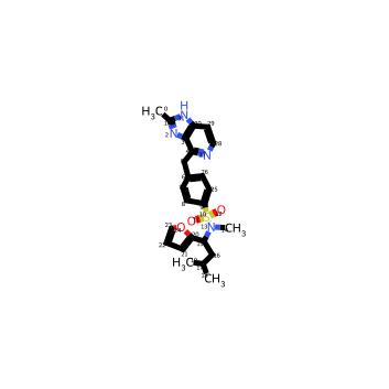 Cc1nc2c(Cc3ccc(S(=O)(=O)N(C)C(CC(C)C)c4ccco4)cc3)nccc2[nH]1